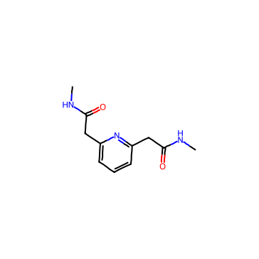 CNC(=O)Cc1cccc(CC(=O)NC)n1